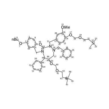 CCCCOc1cccc(CN2C(=O)N(Cc3ccc(OCOCC[Si](C)(C)C)c(OC)c3)N(Cc3ccccc3)C[C@@H](OCOCC[Si](C)(C)C)C2c2ccccc2)c1